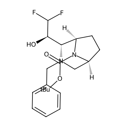 CC(C)(C)OC(=O)N1[C@H]2CC[C@@H]1[C@@H]([C@@H](O)C(F)F)N(Cc1ccccc1)C2